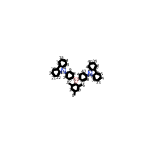 Cc1cc(C)c(B(c2ccc(-n3c4ccccc4c4ccccc43)cc2)c2ccc(-n3c4ccccc4c4ccccc43)cc2)c(C)c1